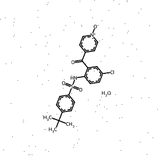 CC(C)(C)c1ccc(S(=O)(=O)Nc2ccc(Cl)cc2C(=O)c2cc[n+]([O-])cc2)cc1.O